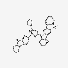 CC1(C)c2ccccc2-c2cc3c(cc21)c1ccccc1n3-c1nc(-c2ccccc2)nc(-c2ccc3c(c2)sc2ccccc23)n1